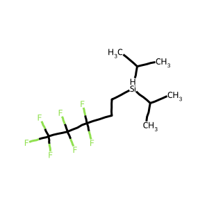 CC(C)[SiH](CCC(F)(F)C(F)(F)C(F)(F)F)C(C)C